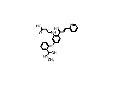 CNC(O)c1ccccc1Sc1ccc(C(=N)/C=C/c2ccccn2)c(NCCC(=O)O)c1